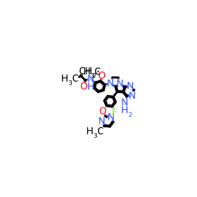 C=C(C)C(=O)Nc1cccc(N2CCn3c2c(-c2ccc(Oc4nccc(C)n4)c(F)c2)c2c(N)ncnc23)c1OC